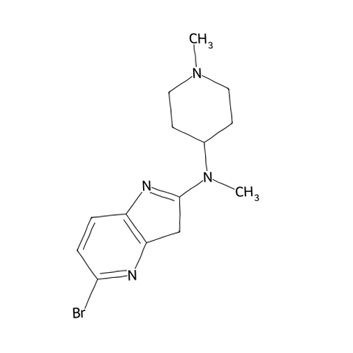 CN1CCC(N(C)C2=Nc3ccc(Br)nc3C2)CC1